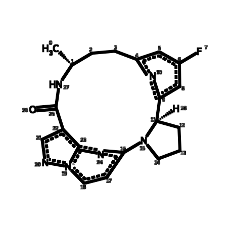 C[C@@H]1CCc2cc(F)cc(n2)[C@H]2CCCN2c2ccn3ncc(c3n2)C(=O)N1